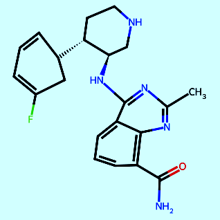 Cc1nc(N[C@@H]2CNCC[C@H]2C2C=CC=C(F)C2)c2cccc(C(N)=O)c2n1